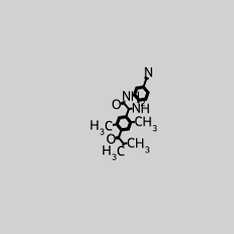 Cc1cc(C(Nc2ccc(C#N)cc2)C(N)=O)c(C)cc1C(=O)C(C)C